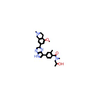 COc1cc(-c2cnc3[nH]cc(-c4ccc(C(=O)N(C)CC(C)O)c(C)c4)c3n2)cc2c1CCN(C)C2